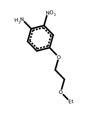 CCOCCOc1ccc(N)c([N+](=O)[O-])c1